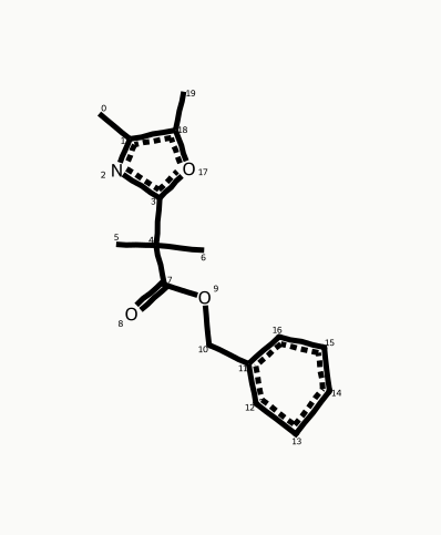 Cc1nc(C(C)(C)C(=O)OCc2ccccc2)oc1C